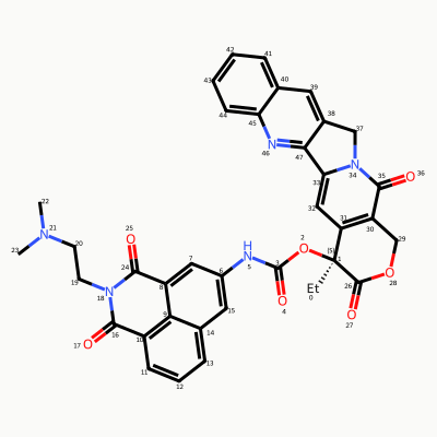 CC[C@@]1(OC(=O)Nc2cc3c4c(cccc4c2)C(=O)N(CCN(C)C)C3=O)C(=O)OCc2c1cc1n(c2=O)Cc2cc3ccccc3nc2-1